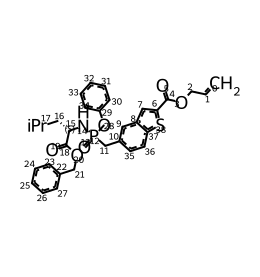 C=CCOC(=O)c1cc2cc(CP(=O)(N[C@@H](CC(C)C)C(=O)OCc3ccccc3)Oc3ccccc3)ccc2s1